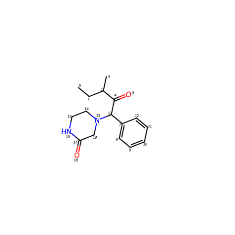 CCC(C)C(=O)C(c1ccccc1)N1CCNC(=O)C1